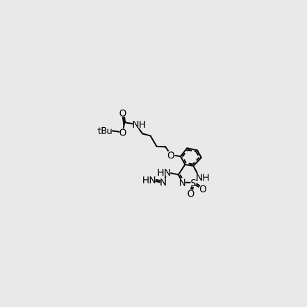 CC(C)(C)OC(=O)NCCCCOc1cccc2c1C(NN=N)=NS(=O)(=O)N2